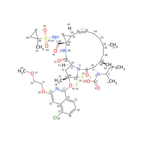 CCC(C)N(C(=O)O)[C@@H]1C(=O)N2[C@@H](C[C@@](C)(Oc3nc(OCCOC)cc4c(Cl)cccc34)C2(F)F)C(=O)N[C@]2(C(=O)NS(=O)(=O)C3(C)CC3)C[C@H]2/C=C\CC[C@H](C)C[C@H]1C